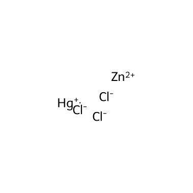 [Cl-].[Cl-].[Cl-].[Hg+].[Zn+2]